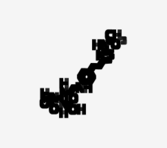 CC(=O)Nc1nc(CCc2ccc(NCCNC(NC(=O)O)NC(=O)O)cc2)cs1